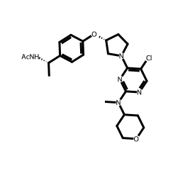 CC(=O)N[C@@H](C)c1ccc(O[C@@H]2CCN(c3nc(N(C)C4CCOCC4)ncc3Cl)C2)cc1